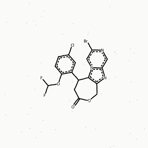 O=C1CC(c2cc(Cl)ccc2OC(F)F)c2c(nc3cnc(Br)cn23)CO1